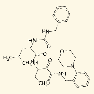 CCC(NC(=O)[C@H](CC(C)C)NC(=O)NCc1ccccc1)C(=O)C(=O)NCc1ccccc1N1CCOCC1